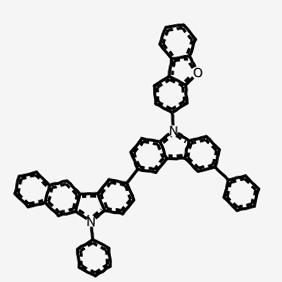 c1ccc(-c2ccc3c(c2)c2cc(-c4ccc5c(c4)c4cc6ccccc6cc4n5-c4ccccc4)ccc2n3-c2ccc3c(c2)oc2ccccc23)cc1